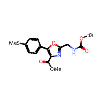 COC(=O)c1nc(CNC(=O)OC(C)(C)C)oc1-c1ccc(SC)cc1